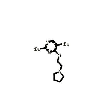 CC(C)(C)c1ncc(C(C)(C)C)c(OCCN2CCCC2)n1